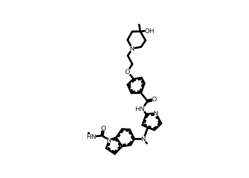 CNC(=O)n1ccc2cc(N(C)c3ccnc(NC(=O)c4ccc(OCCN5CCC(C)(O)CC5)cc4)c3)ccc21